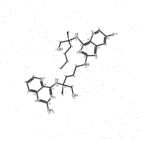 CCCC[C@](C)(CO)Nc1nc(NCCC[C@](C)(CO)Nc2nc(N)nc3cccnc23)nc2cc(F)cnc12